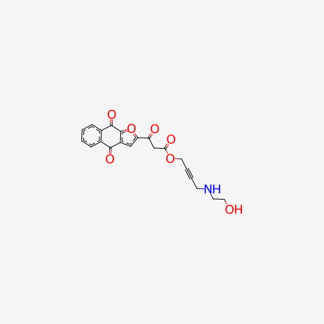 O=C(CC(=O)c1cc2c(o1)C(=O)c1ccccc1C2=O)OCC#CCNCCO